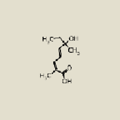 CCC(C)(O)C=CC=C(C)C(=O)O